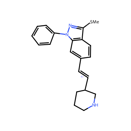 CSc1nn(-c2ccccc2)c2cc(/C=C/C3CCCNC3)ccc12